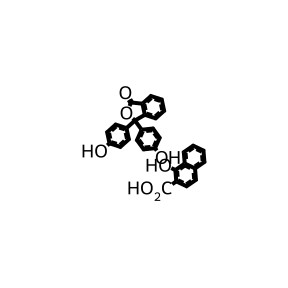 O=C(O)c1ccc2ccccc2c1O.O=C1OC(c2ccc(O)cc2)(c2ccc(O)cc2)c2ccccc21